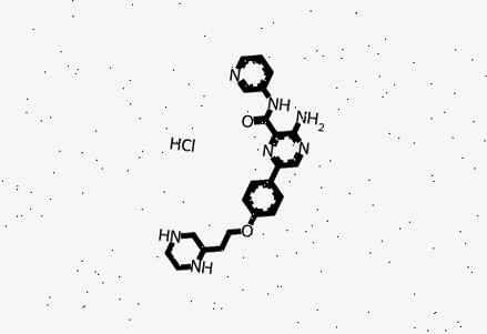 Cl.Nc1ncc(-c2ccc(OCCC3CNCCN3)cc2)nc1C(=O)Nc1cccnc1